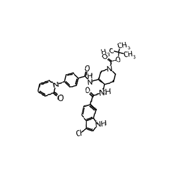 CC(C)(C)OC(=O)N1CCC(NC(=O)c2ccc3c(Cl)c[nH]c3c2)C(NC(=O)c2ccc(-n3ccccc3=O)cc2)C1